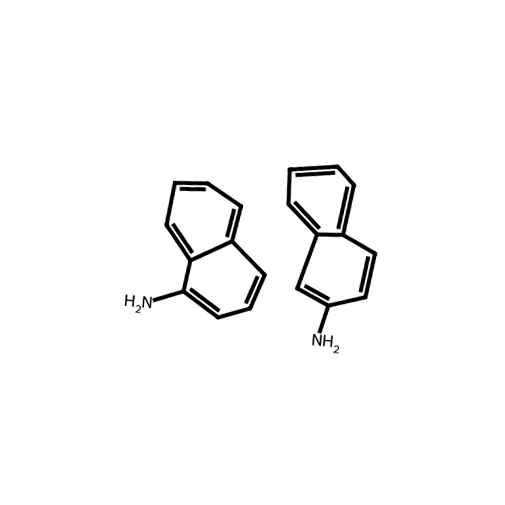 Nc1ccc2ccccc2c1.Nc1cccc2ccccc12